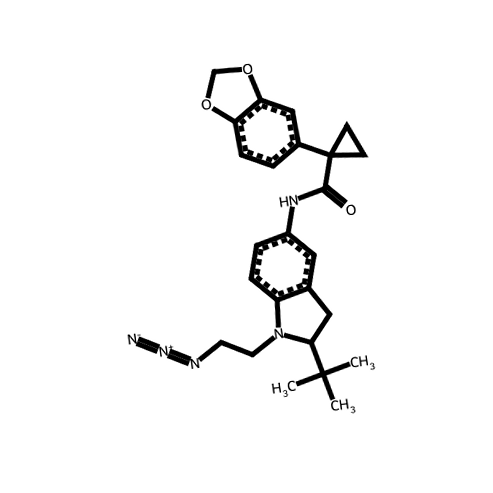 CC(C)(C)C1Cc2cc(NC(=O)C3(c4ccc5c(c4)OCO5)CC3)ccc2N1CCN=[N+]=[N-]